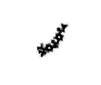 O=C(Cc1ccc([S+]([O-])CC2CC2)cc1)Nc1ccc(C(C(F)F)C(F)(F)F)cc1